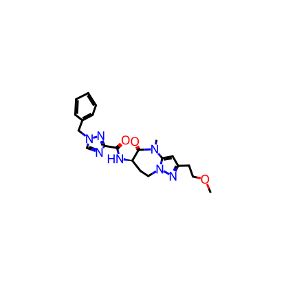 COCCc1cc2n(n1)CC[C@@H](NC(=O)c1ncn(Cc3ccccc3)n1)C(=O)N2C